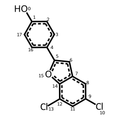 Oc1ccc(-c2cc3cc(Cl)cc(Cl)c3o2)cc1